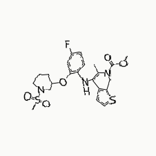 COC(=O)N1Cc2sccc2C(Nc2ccc(F)cc2OC2CCCN(S(C)(=O)=O)C2)=C1C